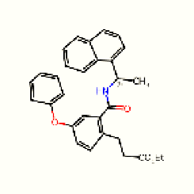 CCOC(=O)CCc1ccc(Oc2ccccc2)cc1C(=O)N[C@H](C)c1cccc2ccccc12